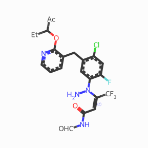 CCC(Oc1ncccc1Cc1cc(N(N)/C(=C\C(=O)NC=O)C(F)(F)F)c(F)cc1Cl)C(C)=O